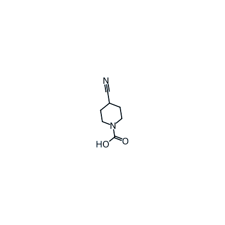 N#CC1CCN(C(=O)O)CC1